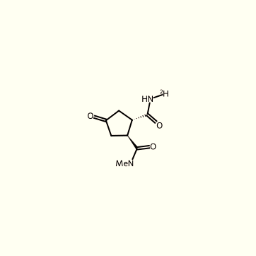 [2H]NC(=O)[C@H]1CC(=O)C[C@@H]1C(=O)NC